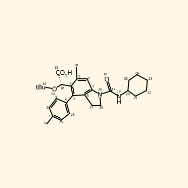 Cc1ccc(-c2c3c(cc(C)c2[C@H](OC(C)(C)C)C(=O)O)N(C(=O)NC2CCCCC2)CC3)cc1